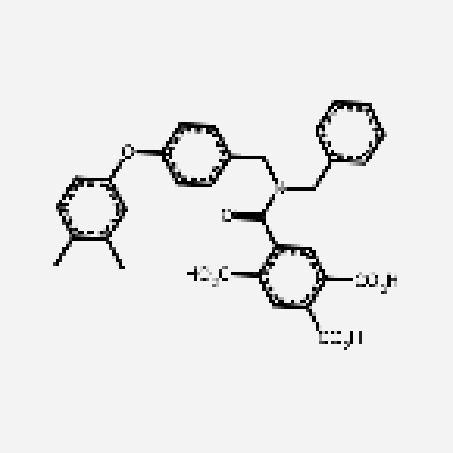 Cc1ccc(Oc2ccc(CN(Cc3ccccc3)C(=O)c3cc(C(=O)O)c(C(=O)O)cc3C(=O)O)cc2)cc1C